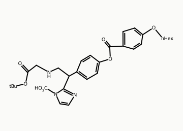 CCCCCCOc1ccc(C(=O)Oc2ccc(C(CNCC(=O)OC(C)(C)C)c3nccn3C(=O)O)cc2)cc1